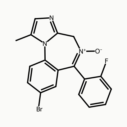 Cc1cnc2n1-c1ccc(Br)cc1C(c1ccccc1F)=[N+]([O-])C2